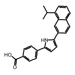 CC(C)c1cccc2ccc(-c3ccc(-c4ccc(C(=O)O)cc4)[nH]3)cc12